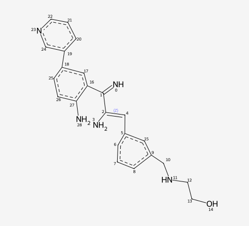 N=C(/C(N)=C/c1cccc(CNCCO)c1)c1cc(-c2cccnc2)ccc1N